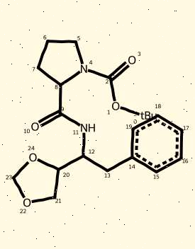 CC(C)(C)OC(=O)N1CCCC1C(=O)NC(Cc1ccccc1)C1COCO1